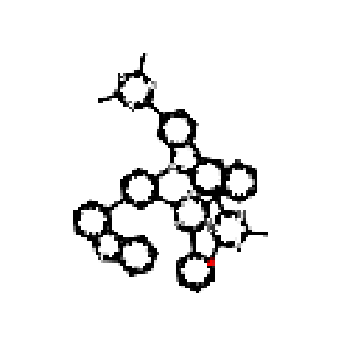 Cc1nc(C)nc(-c2ccc3c4ccc(-c5nc(C)nc(C)n5)cc4n(-c4ccc(-c5cccc6sc7ccccc7c56)cc4-c4nc(-c5ccccc5)nc(-c5ccccc5)n4)c3c2)n1